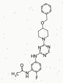 CC(=O)Nc1cc(Nc2ncnc(N3CCC(OCc4ccccc4)CC3)n2)ccc1F